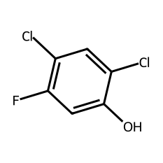 Oc1cc(F)c(Cl)cc1Cl